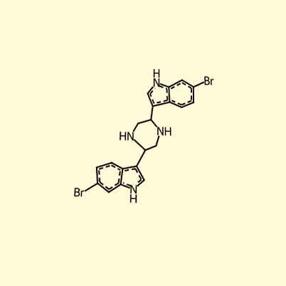 Brc1ccc2c(C3CNC(c4c[nH]c5cc(Br)ccc45)CN3)c[nH]c2c1